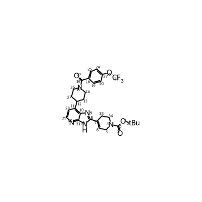 CC(C)(C)OC(=O)N1CC=C(c2nc3c(C4CCN(C(=O)c5ccc(OC(F)(F)F)cc5)CC4)ccnc3[nH]2)CC1